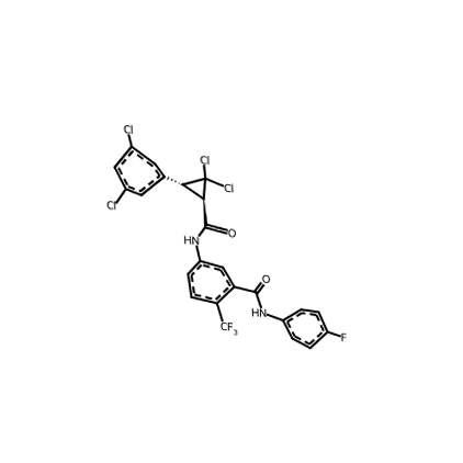 O=C(Nc1ccc(F)cc1)c1cc(NC(=O)[C@H]2[C@H](c3cc(Cl)cc(Cl)c3)C2(Cl)Cl)ccc1C(F)(F)F